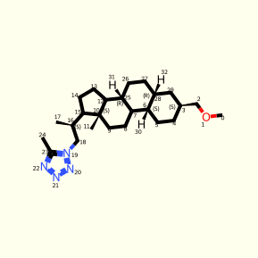 COC[C@H]1CC[C@@H]2C3CC[C@@]4(C)C(CCC4[C@H](C)Cn4nnnc4C)[C@@H]3CC[C@@H]2C1